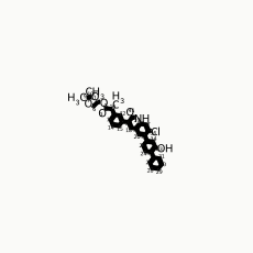 CC(C(=O)OC1COC(C)(C)O1)c1cccc(-c2cc3cc(-c4ccc(-c5ccccc5)c(O)c4)c(Cl)cc3[nH]c2=O)c1